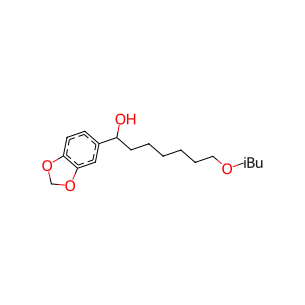 CCC(C)OCCCCCCC(O)c1ccc2c(c1)OCO2